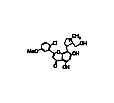 COc1ccc(Cl)c(-c2cc(=O)c3c(O)cc(O)c(C4CCN(C)C4CO)c3o2)c1